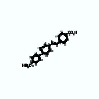 O=C(O)c1ccc(/C=N/c2nnc(-c3ccc(C(=O)O)cc3)nn2)cc1